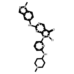 CCn1c(=O)c2cnc(Nc3ccc4c(cnn4C)c3)nc2n1-c1cccc(NC2CCN(C)CC2)n1